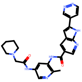 Cc1ncc(NC(=O)CN2CCCCC2)cc1NC(=O)c1cnc2[nH]c(-c3ccnnc3)cc2c1